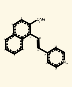 COc1ccc2ccccc2c1C=Cc1ccncc1